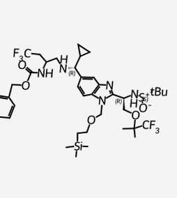 CC(C)(C)[S@@+]([O-])N[C@@H](COC(C)(C)C(F)(F)F)c1nc2cc([C@H](NCC(CC(F)(F)F)NC(=O)OCc3ccccc3)C3CC3)ccc2n1COCC[Si](C)(C)C